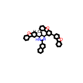 CCC1C(c2cc(-c3ccc4oc5ccccc5c4c3)cc3oc4ccccc4c23)N=C(c2ccc3ccccc3c2)NC1c1ccc2oc3ccccc3c2c1